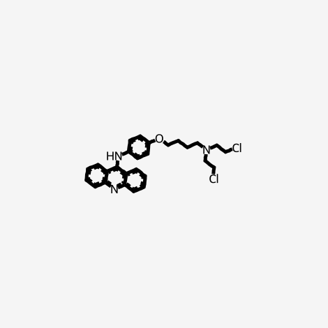 ClCCN(CCCl)CCCCOc1ccc(Nc2c3ccccc3nc3ccccc23)cc1